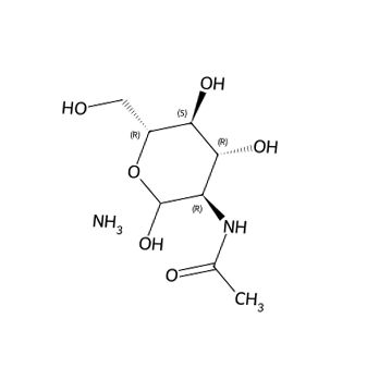 CC(=O)N[C@H]1C(O)O[C@H](CO)[C@@H](O)[C@@H]1O.N